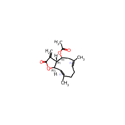 C=C1C(=O)O[C@@H]2/C=C(\C)CC/C=C(\C)C[C@H](OC(C)=O)[C@@H]12